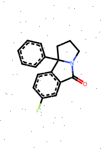 O=C1c2cc(F)ccc2C2(c3ccccc3)CCCN12